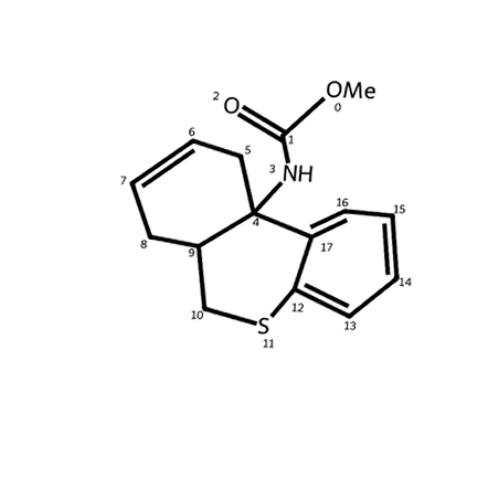 COC(=O)NC12CC=CCC1CSc1ccccc12